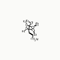 CCOC(C=CC(=O)O)(OCC)C(OCC)(OCC)OCC